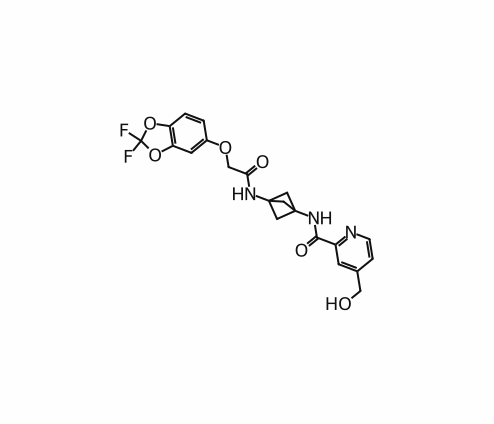 O=C(COc1ccc2c(c1)OC(F)(F)O2)NC12CC(NC(=O)c3cc(CO)ccn3)(C1)C2